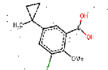 COc1c(F)cc(C2(C)CC2)cc1B(O)O